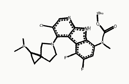 CN(C(=O)OC(C)(C)C)c1cc(F)c(F)c2c1[nH]c1ncc(Cl)c(N3CCC4(CC4N(C)C)C3)c12